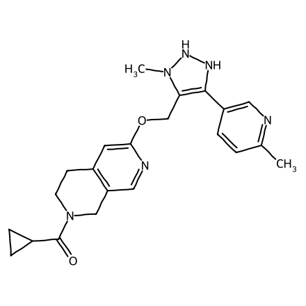 Cc1ccc(C2=C(COc3cc4c(cn3)CN(C(=O)C3CC3)CC4)N(C)NN2)cn1